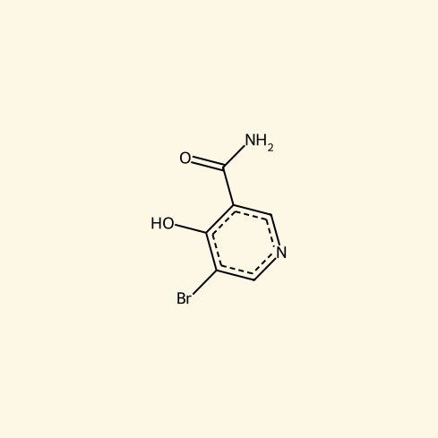 NC(=O)c1cncc(Br)c1O